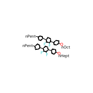 CCCCCCCCOc1ccc(-c2ccc(-c3ccc(CCCCC)cc3)c(F)c2F)cc1.CCCCCCCOc1ccc(-c2ccc(-c3ccc(CCCCC)cc3)c(F)c2F)cc1